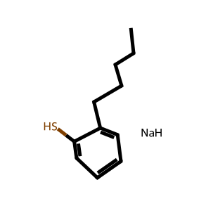 CCCCCc1ccccc1S.[NaH]